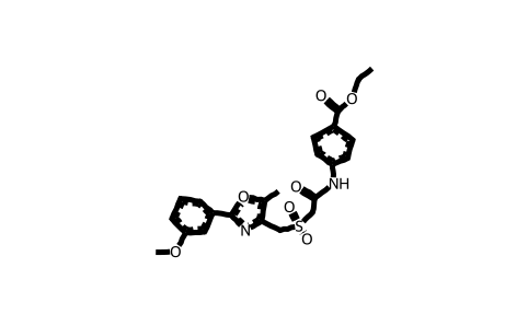 CCOC(=O)c1ccc(NC(=O)CS(=O)(=O)Cc2nc(-c3cccc(OC)c3)oc2C)cc1